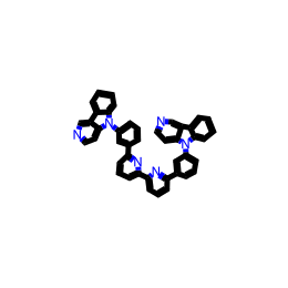 c1cc(-c2cccc(-c3cccc(-c4cccc(-n5c6ccccc6c6cnccc65)c4)n3)n2)cc(-n2c3ccccc3c3cnccc32)c1